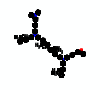 CC1(C)c2ccccc2-c2ccc(-c3ccc(N(c4ccc(-c5ccc(-c6ccc7oc8ccccc8c7c6)cc5)cc4)c4ccc(-c5ccc6c(c5)C(C)(C)c5cc(-c7ccc8c(c7)C(C)(C)c7cc(-c9ccc(N(c%10ccc(-c%11ccc(-c%12ccc%13c(c%12)c%12ccccc%12n%13-c%12ccccc%12)cc%11)cc%10)c%10ccc(-c%11ccc%12c(c%11)C(C)(C)c%11ccccc%11-%12)cc%10)cc9)ccc7-8)ccc5-6)cc4)cc3)cc21